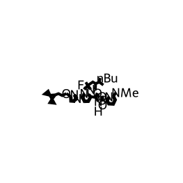 CCCCC(C)C1CN(c2nc(-n3ccc(OCCC4C5(CC5)C45CC5)n3)ccc2C(=O)NS(=O)(=O)c2cccc(NC)n2)C(C)(CF)C1